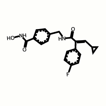 O=C(NCc1ccc(C(=O)NO)cc1)C(=CC1CC1)c1ccc(F)cc1